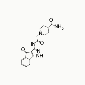 NC(=O)C1CCN(CC(=O)Nc2n[nH]c3c2C(=O)c2ccccc2-3)CC1